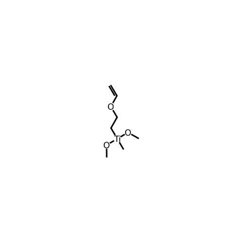 C=COC[CH2][Ti]([CH3])([O]C)[O]C